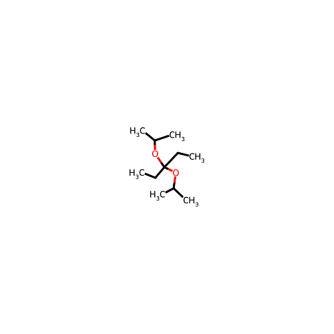 CCC(CC)(OC(C)C)OC(C)C